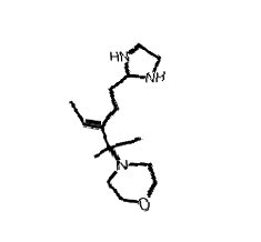 C/C=C(\CCC1NCCN1)C(C)(C)N1CCOCC1